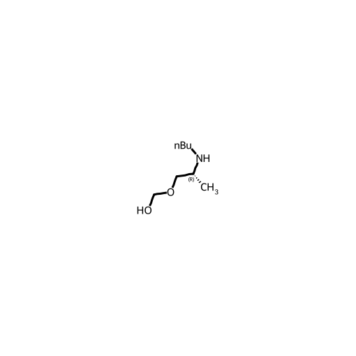 CCCCN[C@H](C)COCO